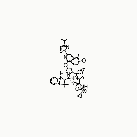 COc1ccc2c(O[C@@H]3C[C@@H](C(=O)N[C@]4(C(=O)NS(=O)(=O)C5CC5)C[C@H]4C4CC4)N(C(=O)[C@@H](Nc4ccccn4)C(C)(C)C)C3)nc(-c3nc(C(C)C)cs3)cc2c1C